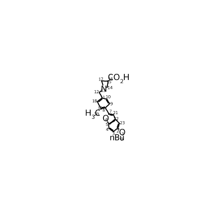 CCCCOc1ccc2oc(-c3ccc(CN4CC(C(=O)O)C4)cc3C)cc2c1